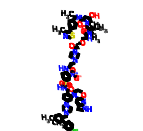 Cc1ncsc1-c1ccc([C@H](C)NC(=O)[C@@H]2C[C@@H](O)CN2C(=O)[C@@H](NC(=O)CCOCCC(=O)N2CCN(CCCNc3ccc(S(=O)(=O)NC(=O)c4ccc(N5CCN(CC6=C(c7ccc(Cl)cc7)CC(C)(C)CC6)CC5)cc4N4CCCOc5nc6[nH]ccc6cc54)cc3[N+](=O)[O-])CC2)C(C)(C)C)cc1